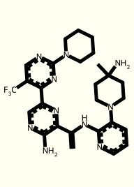 C=C(Nc1ncccc1N1CCC(C)(N)CC1)c1nc(-c2nc(N3CCCCC3)ncc2C(F)(F)F)cnc1N